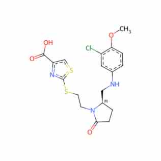 COc1ccc(NC[C@H]2CCC(=O)N2CCSc2nc(C(=O)O)cs2)cc1Cl